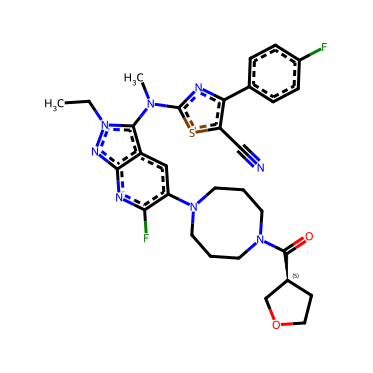 CCn1nc2nc(F)c(N3CCCN(C(=O)[C@H]4CCOC4)CCC3)cc2c1N(C)c1nc(-c2ccc(F)cc2)c(C#N)s1